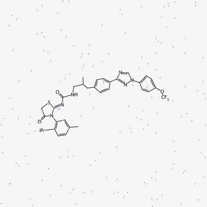 Cc1ccc(C(C)C)c(N2C(=O)CS/C2=N\C(=O)NCC(C)Cc2ccc(-c3ncn(-c4ccc(OC(F)(F)F)cc4)n3)cc2)c1